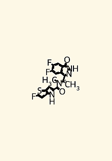 C[C@H](c1n[nH]c(=O)c2cc(F)c(F)cc12)N(C)C(=O)c1cc2sc(F)cc2[nH]1